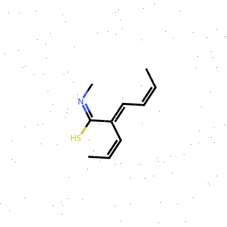 C\C=C/C=C(\C=C/C)C(/S)=N\C